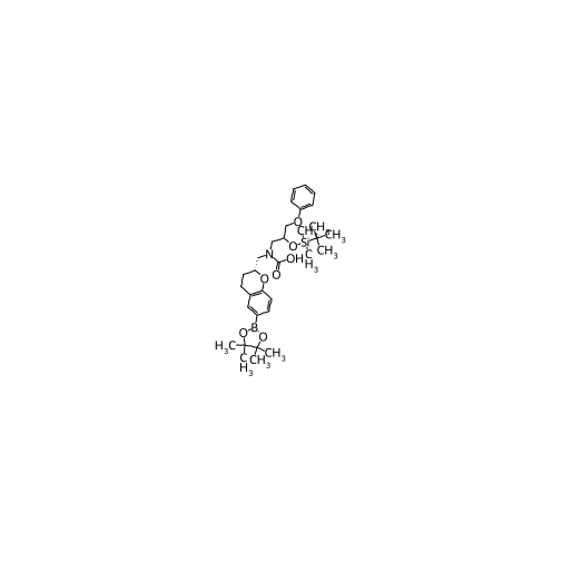 CC1(C)OB(c2ccc3c(c2)CC[C@H](CN(CC(COc2ccccc2)O[Si](C)(C)C(C)(C)C)C(=O)O)O3)OC1(C)C